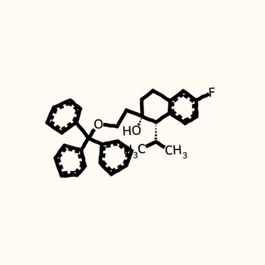 CC(C)[C@H]1c2ccc(F)cc2CC[C@]1(O)CCOC(c1ccccc1)(c1ccccc1)c1ccccc1